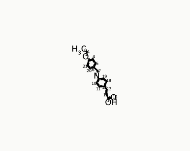 CCOc1ccc(C=Nc2ccc(C=CC(=O)O)cc2)cc1